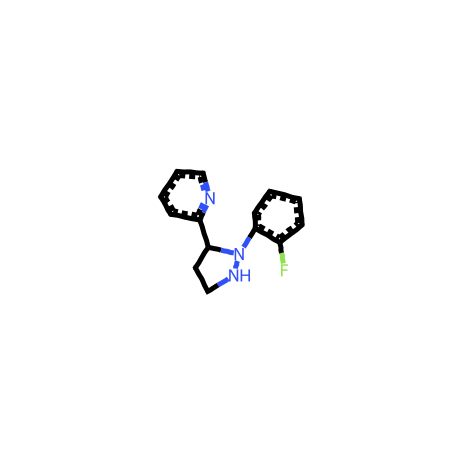 Fc1ccccc1N1NCCC1c1ccccn1